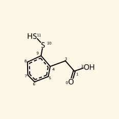 O=C(O)Cc1ccccc1SS